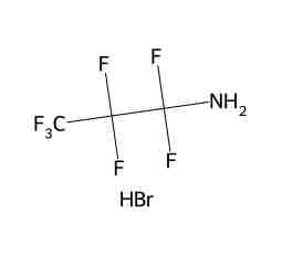 Br.NC(F)(F)C(F)(F)C(F)(F)F